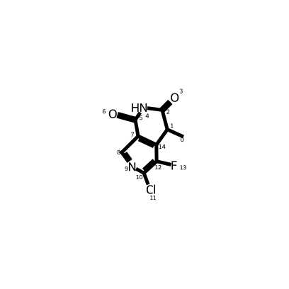 CC1C(=O)NC(=O)c2cnc(Cl)c(F)c21